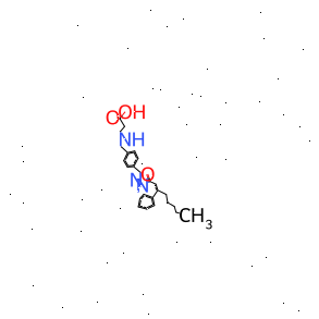 CCCCC/C(=C/c1nnc(-c2ccc(CNCCC(=O)O)cc2)o1)c1ccccc1